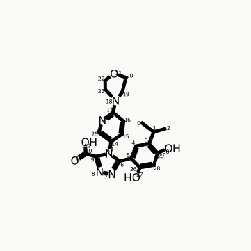 CC(C)c1cc(-c2nnc(C(=O)O)n2-c2ccc(N3CCOCC3)nc2)c(O)cc1O